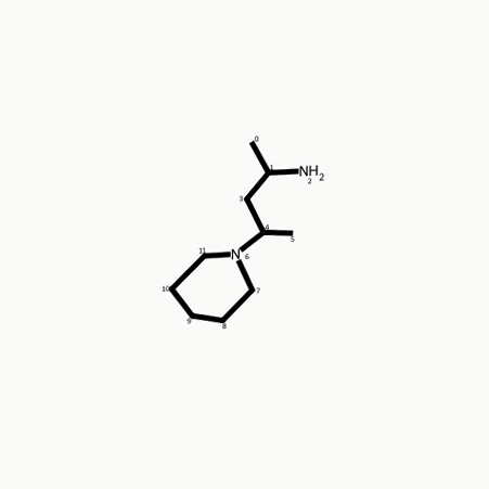 CC(N)CC(C)N1CCCCC1